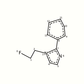 FCCn1ccnc1-c1ccccc1